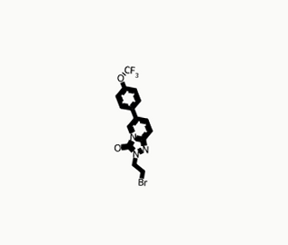 O=c1n(CCBr)nc2ccc(-c3ccc(OC(F)(F)F)cc3)cn12